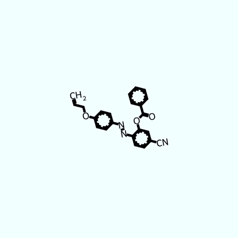 C=CCOc1ccc(N=Nc2ccc(C#N)cc2OC(=O)c2ccccc2)cc1